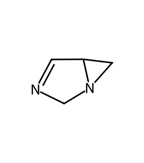 C1=NCN2CC12